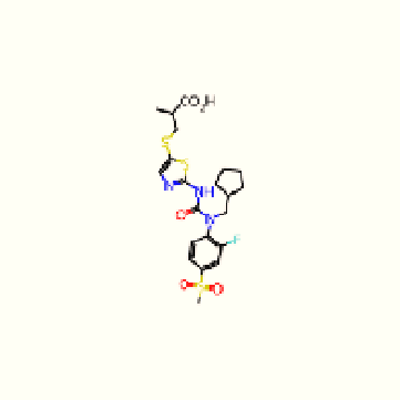 CC(CSc1cnc(NC(=O)N(CC2CCCC2)c2ccc(S(C)(=O)=O)cc2F)s1)C(=O)O